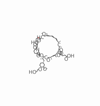 CO[C@H]1C[C@@H]2CC[C@@H](C)[C@@](O)(O2)C(=O)C(=O)N2CCCC[C@H]2C(=O)O[C@H]([C@H](C)C[C@@H]2CC[C@@H](OCCO)[C@H](OC)C2)CC(=O)[C@H](C)/C=C(\C)[C@@H](OC(=O)CCC(=O)O)[C@@H](OC)C(=O)[C@H](C)C[C@H](C)/C=C/C=C/C=C/1C